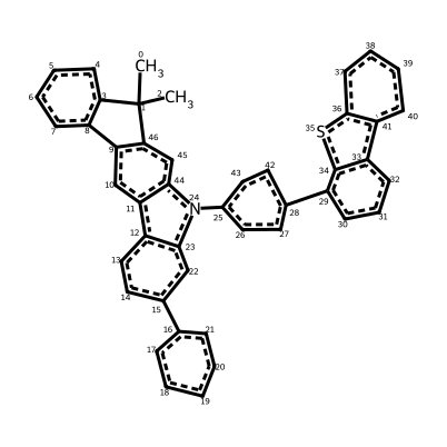 CC1(C)c2ccccc2-c2cc3c4ccc(-c5ccccc5)cc4n(-c4ccc(-c5cccc6c5sc5ccccc56)cc4)c3cc21